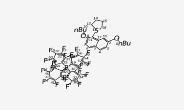 CCCCOc1ccc2ccc(OCCCC)c([S+]3CCCC3)c2c1.Fc1c(F)c(F)c([B-](c2c(F)c(F)c(F)c(F)c2F)(c2c(F)c(F)c(F)c(F)c2F)c2c(F)c(F)c(F)c(F)c2F)c(F)c1F